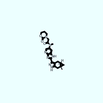 CN(C(=O)CN1CCCOC1=O)c1cnc2nc(-c3n[nH]c4c3C[C@@H]3C[C@]3(C)C4)[nH]c2c1